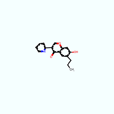 CCCc1cc2c(=O)c(-c3ccccn3)coc2cc1O